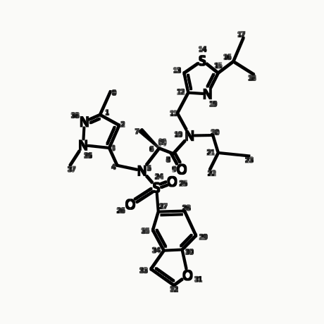 Cc1cc(CN([C@@H](C)C(=O)N(Cc2csc(C(C)C)n2)CC(C)C)S(=O)(=O)c2ccc3occc3c2)n(C)n1